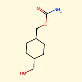 NC(=O)OC[C@H]1CC[C@H](CO)CC1